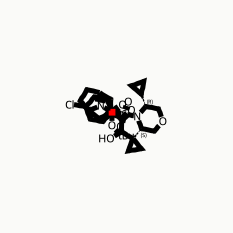 CC(C)(C)OC(=O)N1C2CCC1CN(C(=O)C(O)C1([C@H]3COC[C@@H](C4CC4)N3S(=O)(=O)c3ccc(Cl)cc3)CC1)C2